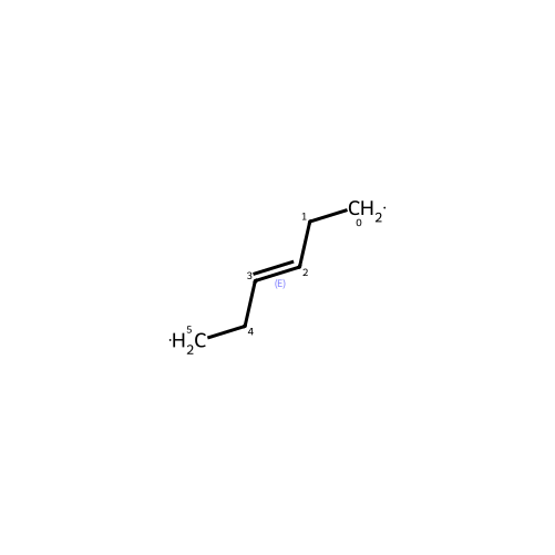 [CH2]C/C=C/C[CH2]